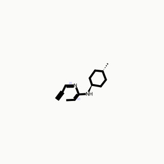 C#C/C=N\C(=C/C)N[C@H]1CC[C@H](C)CC1